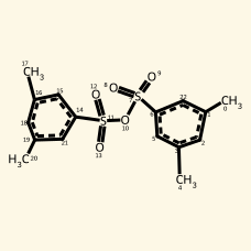 Cc1cc(C)cc(S(=O)(=O)OS(=O)(=O)c2cc(C)cc(C)c2)c1